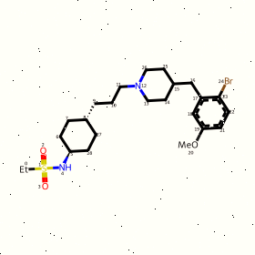 CCS(=O)(=O)N[C@H]1CC[C@H](CCCN2CCC(Cc3cc(OC)ccc3Br)CC2)CC1